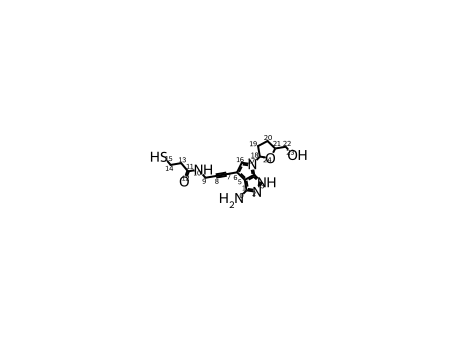 Nc1n[nH]c2c1c(C#CCNC(=O)CCS)cn2C1CCC(CO)O1